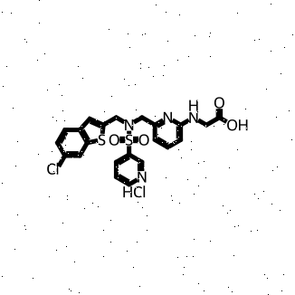 Cl.O=C(O)CNc1cccc(CN(Cc2cc3ccc(Cl)cc3s2)S(=O)(=O)c2cccnc2)n1